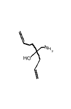 C=CCC(N)(O)CC=C